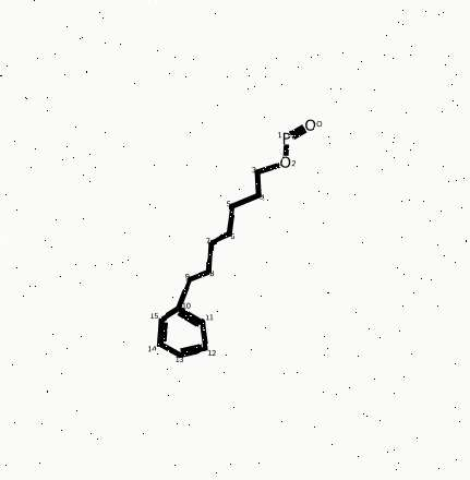 O=POCCCCCCCc1ccccc1